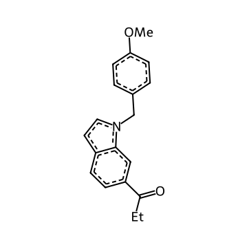 CCC(=O)c1ccc2ccn(Cc3ccc(OC)cc3)c2c1